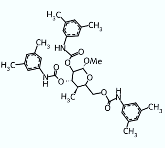 CO[C@@H]1OC(COC(=O)Nc2cc(C)cc(C)c2)[C@@H](C)[C@H](OC(=O)Nc2cc(C)cc(C)c2)C1OC(=O)Nc1cc(C)cc(C)c1